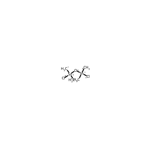 [CH3][Sn]([CH3])([Cl])[O][Sn]([CH3])([CH3])[Cl]